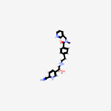 CN(Cc1cccnc1)C(=O)c1ccc(CCNC[C@H](O)c2ccc(C#N)nc2)cc1